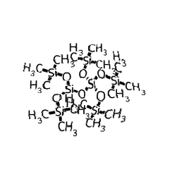 C[Si](C)(C)O[SiH](O[Si](C)(C)C)O[Si](O[Si](C)(C)C)(O[Si](C)(C)C)O[Si](C)(C)C